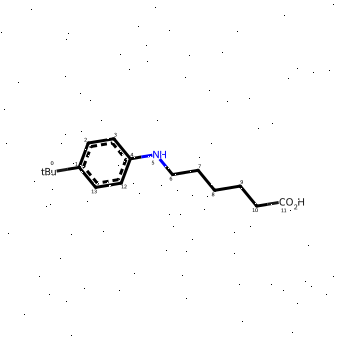 CC(C)(C)c1ccc(NCCCCCC(=O)O)cc1